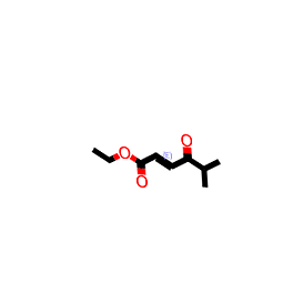 CCOC(=O)/C=C/C(=O)C(C)C